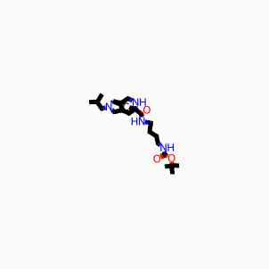 CC(C)CN1CC2CC3(C(=O)NCCCCNC(=O)OC(C)(C)C)CC1C2CN3